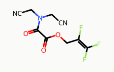 N#CCN(CC#N)C(=O)C(=O)OCC(F)=C(F)F